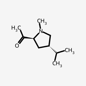 CC(=O)[C@@H]1C[C@@H](C(C)C)CN1C